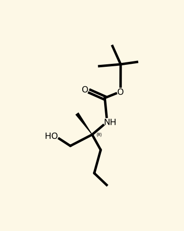 CCC[C@](C)(CO)NC(=O)OC(C)(C)C